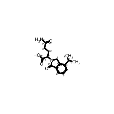 CC(C)c1cccc2c1CN(C(CCC(N)=O)C(=O)O)C2=O